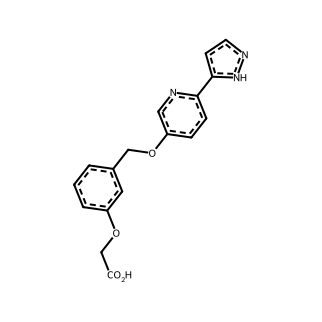 O=C(O)COc1cccc(COc2ccc(-c3ccn[nH]3)nc2)c1